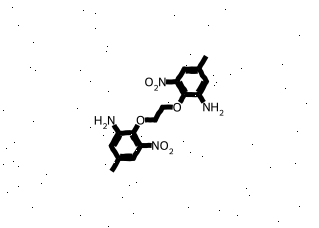 Cc1cc(N)c(OCCOc2c(N)cc(C)cc2[N+](=O)[O-])c([N+](=O)[O-])c1